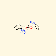 CC(C)(OCc1ccccc1N)OCc1ccccc1N